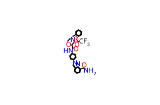 NC(=O)c1cccc2cn(-c3ccc(NC(=O)C4C[N+](Cc5ccccc5)(OC(=O)C(F)(F)F)CCO4)cc3)nc12